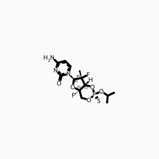 CC(C)OP1(=S)OC[C@@]2(F)O[C@@H](n3ccc(N)nc3=O)[C@](C)(F)[C@@H]2O1